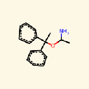 CC(N)OC(C)(c1ccccc1)c1ccccc1